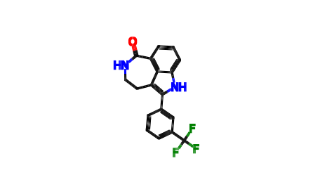 O=C1NCCc2c(-c3cccc(C(F)(F)F)c3)[nH]c3cccc1c23